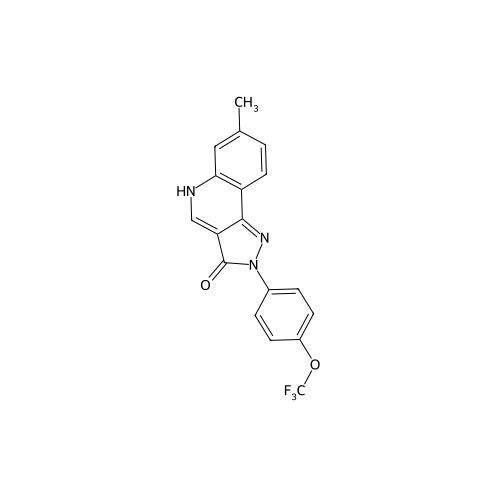 Cc1ccc2c3nn(-c4ccc(OC(F)(F)F)cc4)c(=O)c-3c[nH]c2c1